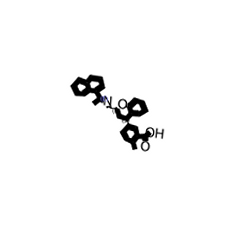 C/C(=N\C[C@H]1C[C@@H](c2ccc(C)c(C(=O)O)c2)c2ccccc2O1)c1cccc2ccccc12